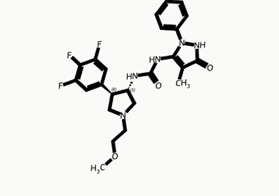 COCCN1C[C@@H](NC(=O)Nc2c(C)c(=O)[nH]n2-c2ccccc2)[C@H](c2cc(F)c(F)c(F)c2)C1